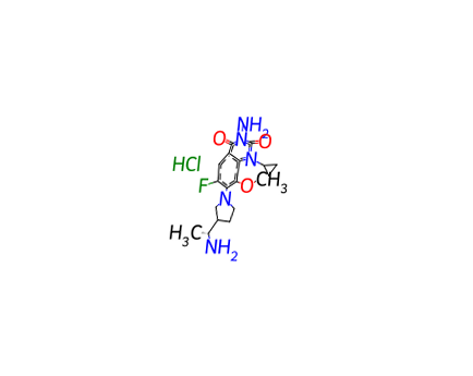 COc1c(N2CCC([C@@H](C)N)C2)c(F)cc2c(=O)n(N)c(=O)n(C3CC3)c12.Cl